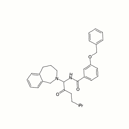 CC(C)CCC(=O)C(NC(=O)c1cccc(OCc2ccccc2)c1)N1CCCc2ccccc2C1